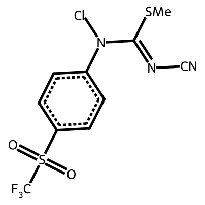 CSC(=NC#N)N(Cl)c1ccc(S(=O)(=O)C(F)(F)F)cc1